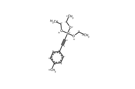 CCO[Si](C#Cc1ccc(C)cc1)(OCC)OCC